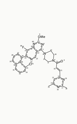 COc1nc(N2CCN(C(=O)/C=C/c3cc(C)nc(C)n3)CC2)c2cnc(-c3cccc4cccc(Cl)c34)c(F)c2n1